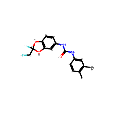 Cc1ccc(NC(=O)Nc2ccc3c(c2)OC(F)(CF)O3)cc1C(C)C